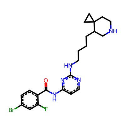 O=C(Nc1ccnc(NCCCCC2CNCCC23CC3)n1)c1ccc(Br)cc1F